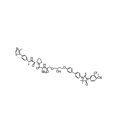 Cc1ncsc1-c1ccc([C@H](C)NC(=O)[C@@H]2CCCN2C(=O)C(NC(=O)COC[C@@H](O)CCOc2ccc(-c3ccc(N4C(=S)N(c5ccc(C#N)c(C(F)(F)F)c5)C(=O)C4(C)C)cc3)cc2)C(C)(C)C)cc1